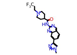 Cn1cc(-c2ccc3cnc(NC(=O)C4CCN(CCC(F)(F)F)CC4)nc3c2)nn1